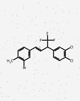 Cc1ccc(/C=C/C(c2ccc(Cl)c(Cl)c2)C(F)(F)F)cc1Br